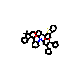 CC1(C)c2ccccc2-c2c(-c3ccccc3N(c3ccc(-c4ccccc4)c(-c4ccccc4)c3)c3ccccc3-c3cccc4c3sc3ccccc34)cccc21